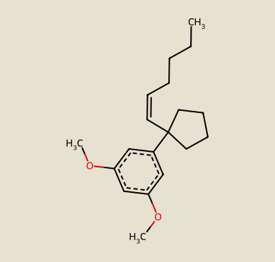 CCCC/C=C\C1(c2cc(OC)cc(OC)c2)CCCC1